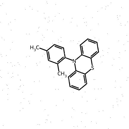 Cc1ccc(N2c3ccccc3Sc3ccccc32)c(C)c1